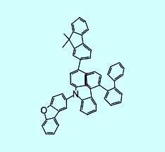 CC1(C)c2ccccc2-c2ccc(-c3ccc(N(c4ccc5oc6ccccc6c5c4)c4ccccc4-c4ccccc4-c4ccccc4-c4ccccc4)cc3)cc21